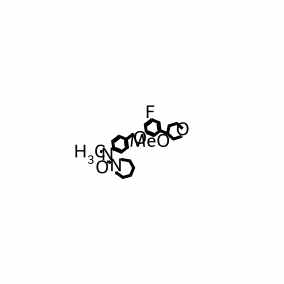 COC1(c2cc(F)cc(OCc3ccc(N(C)C(=O)N4CCCCCC4)cc3)c2)CCOCC1